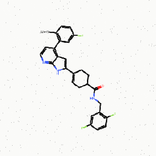 COc1ccc(F)cc1-c1ccnc2[nH]c(C3=CCC(C(=O)NCc4cc(F)ccc4F)CC3)cc12